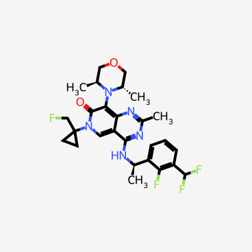 Cc1nc(N[C@H](C)c2cccc(C(F)F)c2F)c2cn(C3(CF)CC3)c(=O)c(N3[C@@H](C)COC[C@@H]3C)c2n1